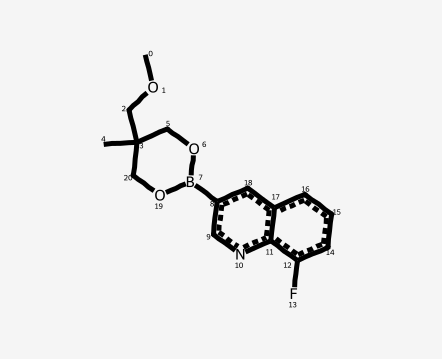 COCC1(C)COB(c2cnc3c(F)cccc3c2)OC1